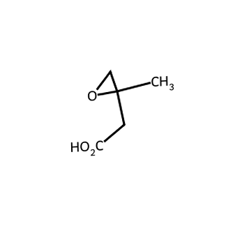 CC1(CC(=O)O)CO1